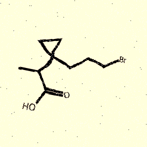 CC(C(=O)O)C1(CCCBr)CC1